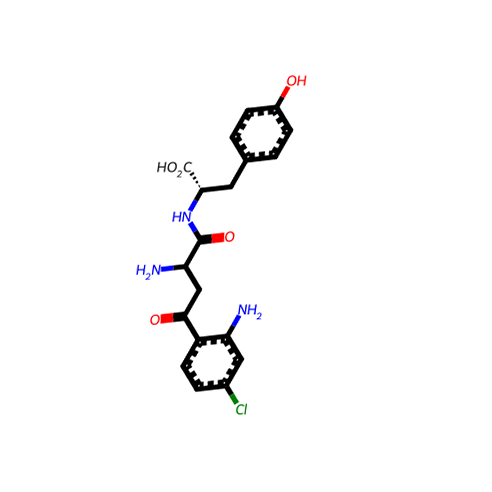 Nc1cc(Cl)ccc1C(=O)CC(N)C(=O)N[C@@H](Cc1ccc(O)cc1)C(=O)O